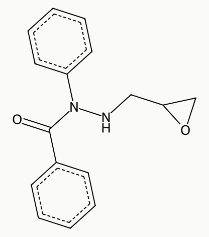 O=C(c1ccccc1)N(NCC1CO1)c1ccccc1